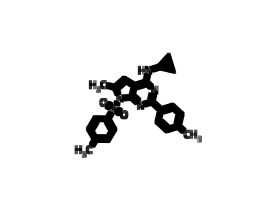 Cc1ccc(-c2nc(NC3CC3)c3cc(C)n(S(=O)(=O)c4ccc(C)cc4)c3n2)cc1